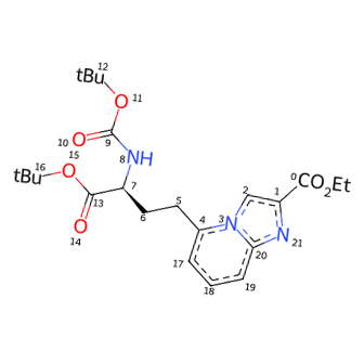 CCOC(=O)c1cn2c(CC[C@H](NC(=O)OC(C)(C)C)C(=O)OC(C)(C)C)cccc2n1